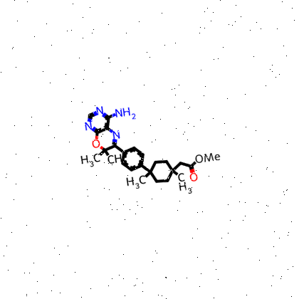 COC(=O)CC1(C)CCC(C)(c2ccc(C3=Nc4c(N)ncnc4OC3(C)C)cc2)CC1